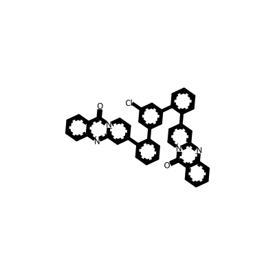 O=c1c2ccccc2nc2cc(-c3ccccc3-c3cc(Cl)cc(-c4ccccc4-c4ccn5c(=O)c6ccccc6nc5c4)c3)ccn12